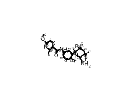 COc1cnc(C(=O)Nc2ccc(F)c([C@@]3(C)N=C(N)[C@@](C)(F)CC3(F)F)c2)c(C)n1